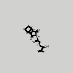 C=C(C)C(O)OCC(=O)ON1C(=O)C2C3CCC(C3)C2C1=O